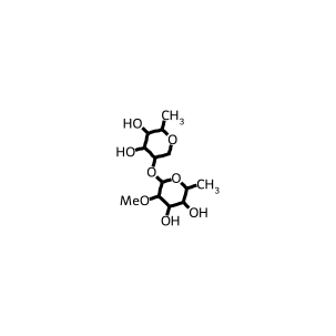 COC1C(OC2COC(C)C(O)C2O)OC(C)C(O)C1O